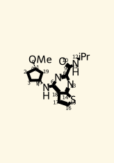 CO[C@H]1CC[C@@H](Nc2nc(C(=O)NC(C)C)nc3sccc23)C1